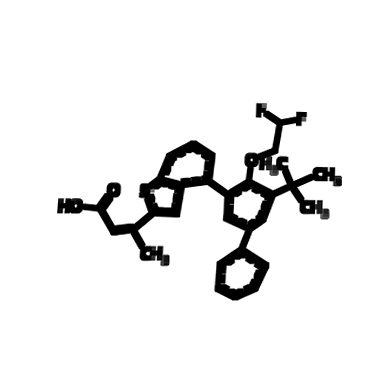 C/C(=C/C(=O)O)c1cc2c(-c3cc(-c4ccccc4)cc(C(C)(C)C)c3OCC(F)F)cccc2s1